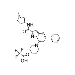 CN1CC[C@@H](NC(=O)c2cc3nc(-c4ccccc4)cc(N4CCCCC4)n3n2)C1.O=C(O)C(F)(F)F